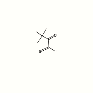 [CH2]C(=S)C(=O)C(C)(C)C